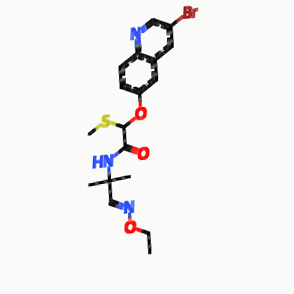 CCON=CC(C)(C)NC(=O)C(Oc1ccc2ncc(Br)cc2c1)SC